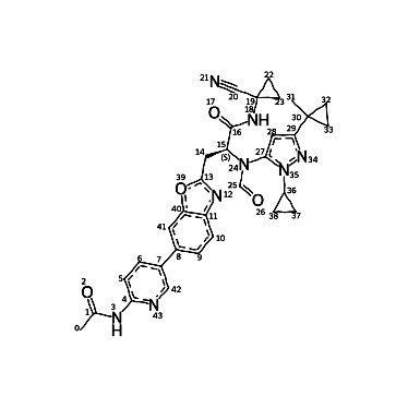 CC(=O)Nc1ccc(-c2ccc3nc(C[C@@H](C(=O)NC4(C#N)CC4)N(C=O)c4cc(C5(C)CC5)nn4C4CC4)oc3c2)cn1